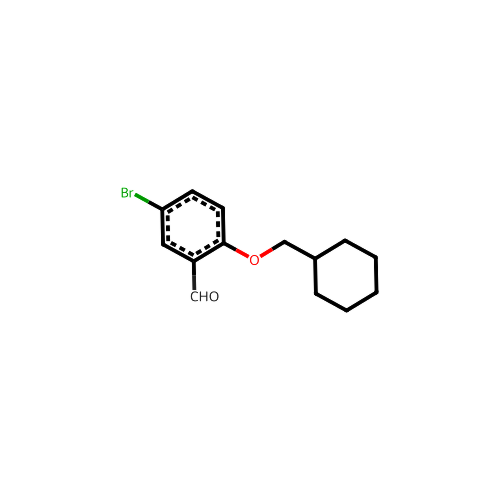 O=Cc1cc(Br)ccc1OCC1CCCCC1